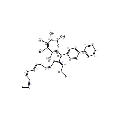 C\C=C/C=C\C=C\C/C=C\C/C(=C\CC)N(C1=C(O)C(O)=C(O)C(O)=C(O)C1)c1ccc(-c2ccccc2)cc1